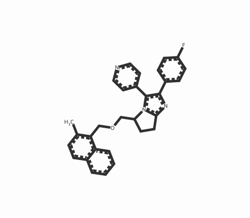 Cc1ccc2ccccc2c1COCC1CCc2nc(-c3ccc(F)cc3)c(-c3ccncc3)n21